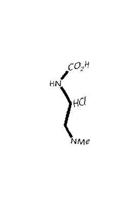 CNCCNC(=O)O.Cl